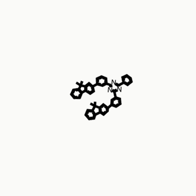 CC1(C)c2ccccc2-c2ccc(-c3cccc(-c4nc(-c5ccccc5)nc(-c5cccc(-c6ccc7c(c6)C(C)(C)c6ccccc6-7)c5)n4)c3)cc21